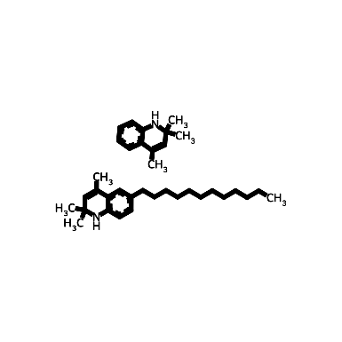 CC1=CC(C)(C)Nc2ccccc21.CCCCCCCCCCCCc1ccc2c(c1)C(C)=CC(C)(C)N2